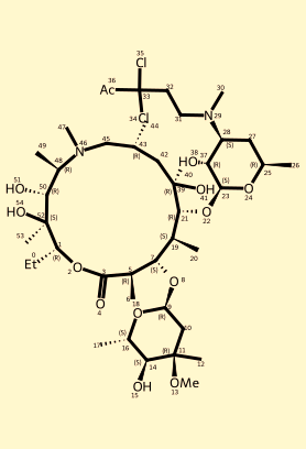 CC[C@H]1OC(=O)[C@H](C)[C@@H](O[C@H]2C[C@@](C)(OC)[C@@H](O)[C@H](C)O2)[C@H](C)[C@@H](O[C@@H]2O[C@H](C)C[C@H](N(C)CCC(Cl)(Cl)C(C)=O)[C@H]2O)[C@](C)(O)C[C@@H](C)CN(C)[C@H](C)[C@@H](O)[C@]1(C)O